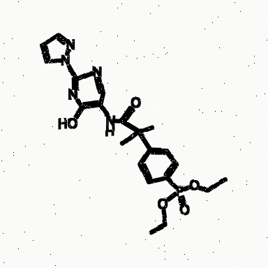 CCOP(=O)(OCC)c1ccc(C(C)(C)C(=O)Nc2cnc(-n3cccn3)nc2O)cc1